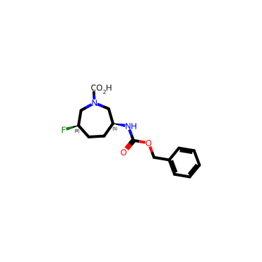 O=C(N[C@H]1CC[C@@H](F)CN(C(=O)O)C1)OCc1ccccc1